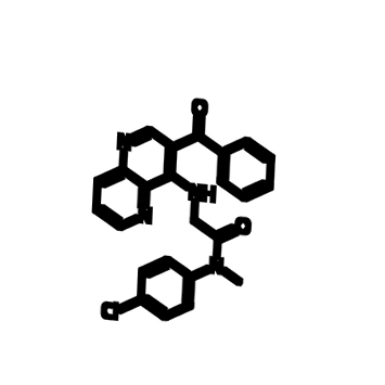 CN(C(=O)CNc1c(C(=O)c2ccccc2)cnc2cccnc12)c1ccc(Cl)cc1